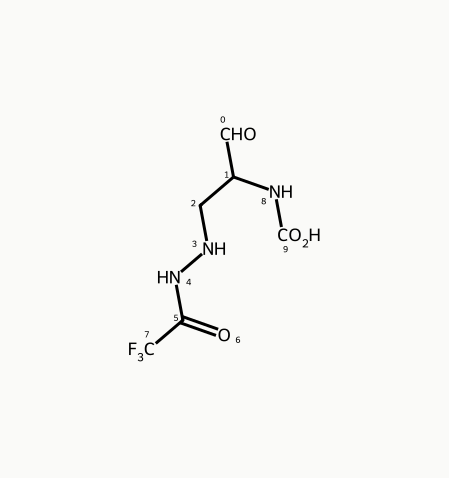 O=CC(CNNC(=O)C(F)(F)F)NC(=O)O